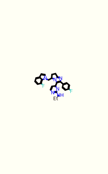 CCNc1nccc(-c2c(-c3ccc(F)cc3)nc3n2C(Cn2ccc4cccc(F)c42)CC3)n1